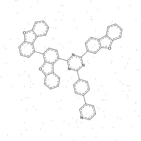 c1cncc(-c2ccc(-c3nc(-c4ccc5c(c4)oc4ccccc45)nc(-c4ccc(-c5cccc6oc7ccccc7c56)c5oc6ccccc6c45)n3)cc2)c1